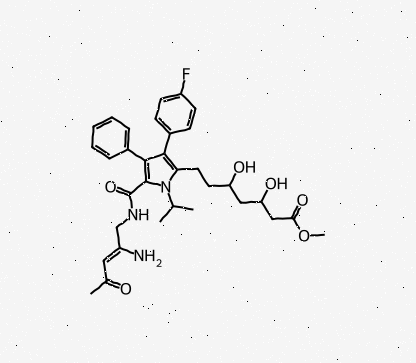 COC(=O)CC(O)CC(O)CCc1c(-c2ccc(F)cc2)c(-c2ccccc2)c(C(=O)NCC(N)=CC(C)=O)n1C(C)C